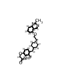 Cc1ncc2c(OCCN3CCC(Cc4ccc5c(c4F)NC(=O)CO5)CC3)cccc2n1